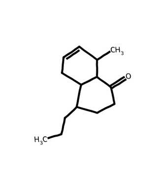 CCCC1CCC(=O)C2C(C)C=CCC12